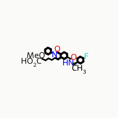 COc1cccc(-n2c(CCCCC(=O)O)cc3cc(C(=O)N[C@H](C)c4ccc(F)cc4)ccc3c2=O)c1